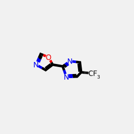 FC(F)(F)c1cnc(-c2cnco2)nc1